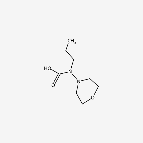 CCCN(C(=O)O)N1CCOCC1